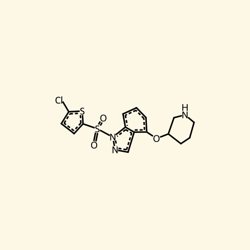 O=S(=O)(c1ccc(Cl)s1)n1ncc2c(OC3CCCNC3)cccc21